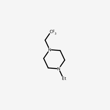 CCN1CCN(CC(F)(F)F)CC1